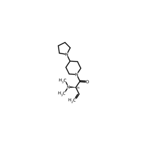 C=C[C@H](C(=O)N1CCC(N2CCCC2)CC1)N(C)C